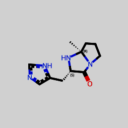 C[C@]12CCCN1C(=O)[C@H](Cc1cnc[nH]1)N2